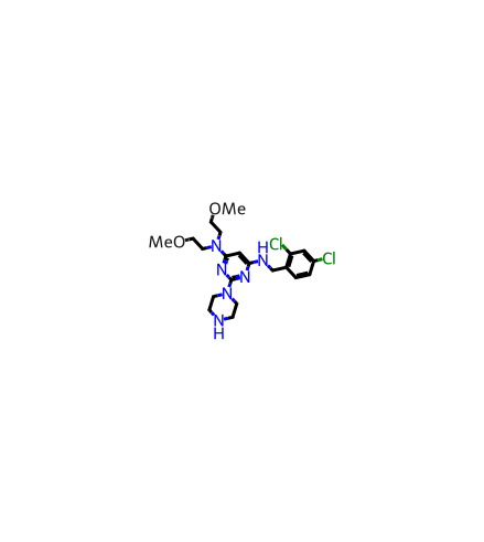 COCCN(CCOC)c1cc(NCc2ccc(Cl)cc2Cl)nc(N2CCNCC2)n1